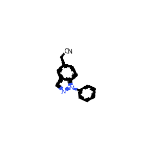 N#CCc1ccc2c(cnn2-c2ccccc2)c1